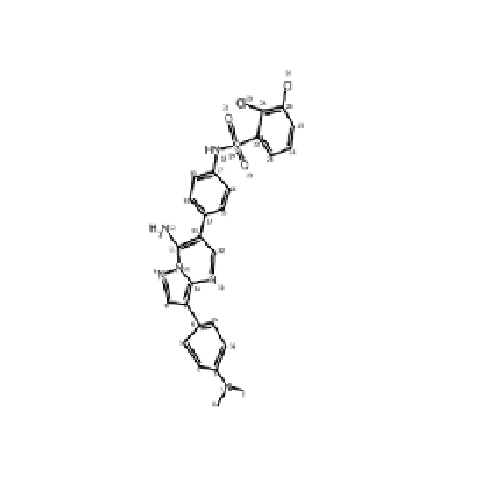 CN(C)c1ccc(-c2cnn3c(N)c(-c4ccc(NS(=O)(=O)c5cccc(Cl)c5Cl)cc4)cnc23)cc1